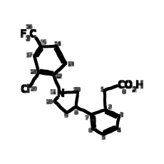 O=C(O)Cc1ccccc1C1CCN(c2ccc(C(F)(F)F)cc2Cl)C1